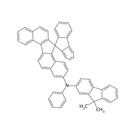 CC1(C)c2ccccc2-c2ccc(N(c3ccccc3)c3ccc4c5c(ccc4c3)-c3c(ccc4ccccc34)C53c4ccccc4-c4ccccc43)cc21